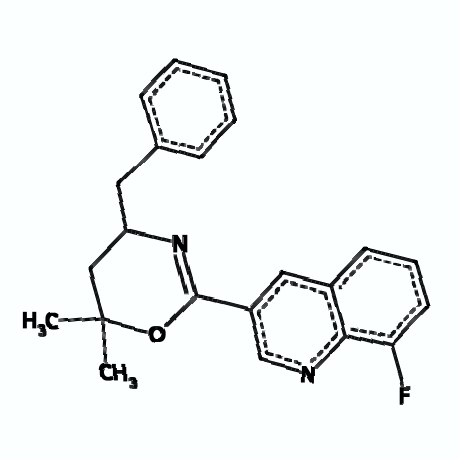 CC1(C)CC(Cc2ccccc2)N=C(c2cnc3c(F)cccc3c2)O1